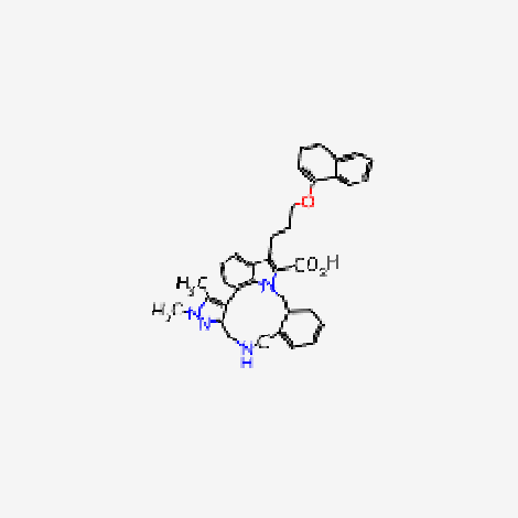 Cc1c2c(nn1C)CNCc1ccccc1Cn1c(C(=O)O)c(CCCOc3cccc4ccccc34)c3cccc-2c31